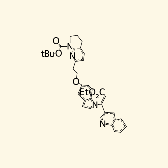 CCOC(=O)C=C(c1cnc2ccccc2c1)n1ccc2cc(OCCc3ccc4c(n3)N(C(=O)OC(C)(C)C)CCC4)ccc21